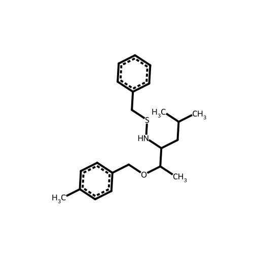 Cc1ccc(COC(C)C(CC(C)C)NSCc2ccccc2)cc1